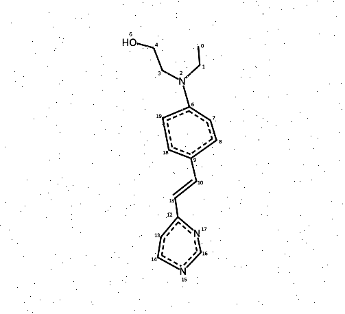 CCN(CCO)c1ccc(/C=C/c2ccncn2)cc1